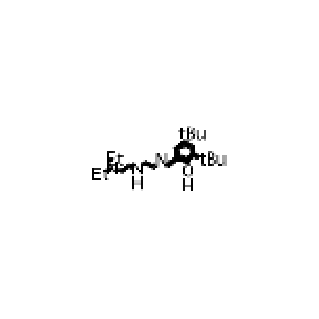 CCN(CC)CCNCC/N=C/c1cc(C(C)(C)C)cc(C(C)(C)C)c1O